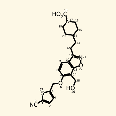 N#Cc1ccc(COc2ccc3c(CCC4CCN(C(=O)O)CC4)noc3c2CO)s1